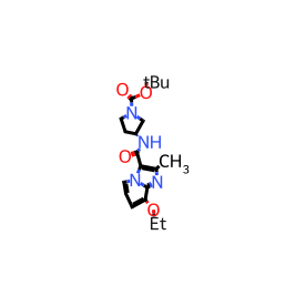 CCOc1cccn2c(C(=O)N[C@@H]3CCN(C(=O)OC(C)(C)C)C3)c(C)nc12